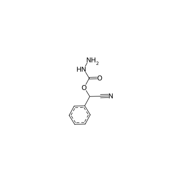 N#CC(OC(=O)NN)c1ccccc1